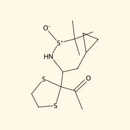 CC(=O)C1(C(CC2CC2)N[S+]([O-])C(C)(C)C)SCCS1